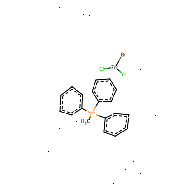 C[P+](c1ccccc1)(c1ccccc1)c1ccccc1.[Cl][Zn-]([Cl])[Br]